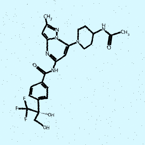 CC(=O)NC1CCN(c2cc(NC(=O)c3ccc([C@@](O)(CO)C(F)(F)F)cc3)nc3cc(C)nn23)CC1